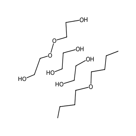 CCCCOCCCC.OCCO.OCCO.OCCOOCCO